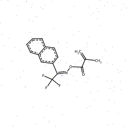 C=C(C)C(=O)O/N=C(\c1ccc2ccccc2c1)C(F)(F)F